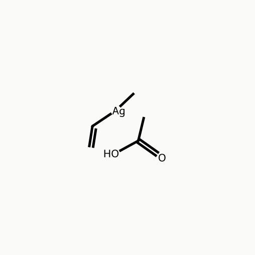 C=[CH][Ag][CH3].CC(=O)O